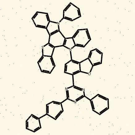 c1ccc(-c2ccc(-c3nc(-c4ccccc4)nc(-c4ccc(-n5c6ccccc6c6c7c(c8ccccc8n7-c7ccccc7)c7sc8ccccc8c7c65)c5c4oc4ccccc45)n3)cc2)cc1